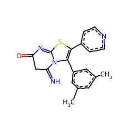 Cc1cc(C)cc(C2=C(c3ccncc3)SC3=NC(=O)CC(=N)N32)c1